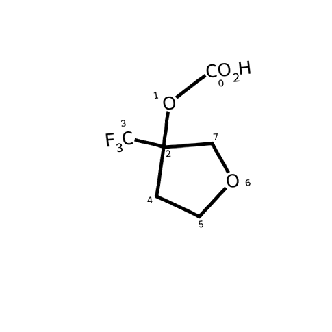 O=C(O)OC1(C(F)(F)F)CCOC1